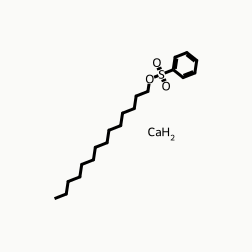 CCCCCCCCCCCCCCOS(=O)(=O)c1ccccc1.[CaH2]